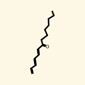 C=CC=CC=CC(=O)CCCCCCC